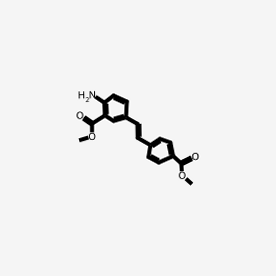 COC(=O)c1ccc(C=Cc2ccc(N)c(C(=O)OC)c2)cc1